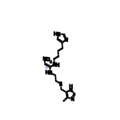 Cc1nc[nH]c1CSCCN/C(=C/[N+](=O)[O-])NCCCCc1c[nH]cn1